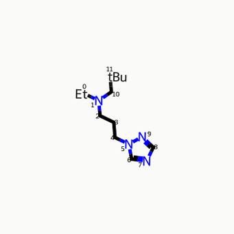 CCN(CCCn1cncn1)CC(C)(C)C